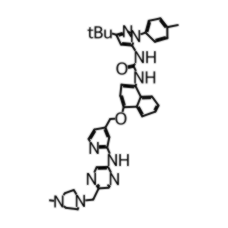 Cc1ccc(-n2nc(C(C)(C)C)cc2NC(=O)Nc2ccc(OCc3ccnc(Nc4cnc(CN5CCN(C)CC5)cn4)c3)c3ccccc23)cc1